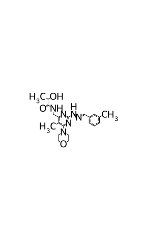 Cc1cccc(/C=N/Nc2nc(CNC(=O)C(C)O)c(C)c(N3CCOCC3)n2)c1